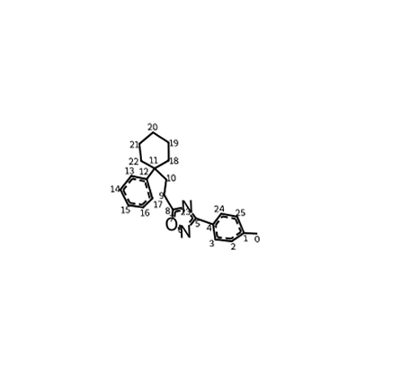 Cc1ccc(-c2noc(CCC3(c4ccccc4)CCCCC3)n2)cc1